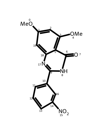 COc1cc(OC)c2c(=O)[nH]c(-c3cccc([N+](=O)[O-])c3)nc2c1